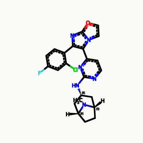 CN1[C@@H]2CC[C@H]1C[C@@H](Nc1nccc(-c3c(-c4ccc(F)cc4Cl)nc4occn34)n1)C2